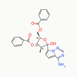 C[C@H]1[C@H](OC(=O)c2ccccc2)[C@@H](COC(=O)c2ccccc2)OC1(O)c1ccc2c(N)ncnn12